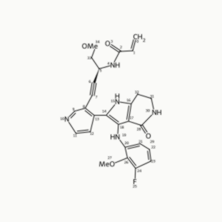 C=CC(=O)N[C@@H](C#Cc1cnccc1-c1[nH]c2c(c1Nc1cccc(F)c1OC)C(=O)NCC2)COC